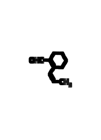 C/C=C\C1=C(C=O)CCCC1